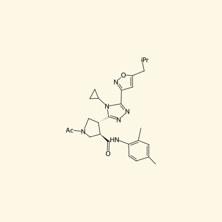 CC(=O)N1C[C@H](C(=O)Nc2ccc(C)cc2C)[C@@H](c2nnc(-c3cc(CC(C)C)on3)n2C2CC2)C1